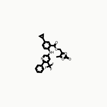 Cc1oc(=O)oc1COC(=O)c1cc(C2CC2)ccc1Nc1cnc(-c2ccccc2)c(C(F)(F)F)c1